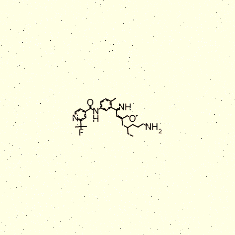 CCC(CCCN)C/C(=C/C(=N)c1cc(NC(=O)c2ccnc(C(C)(C)F)c2)ccc1C)COC